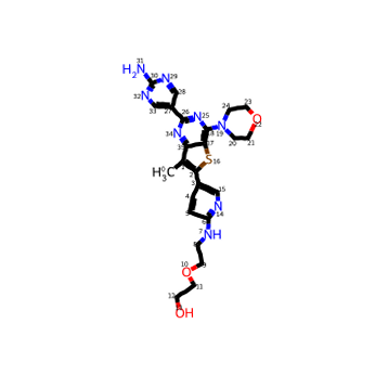 Cc1c(-c2ccc(NCCOCCO)nc2)sc2c(N3CCOCC3)nc(-c3cnc(N)nc3)nc12